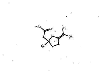 COC(=O)CC1(C)CCC(=C(C)C)C1